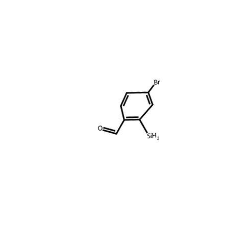 O=Cc1ccc(Br)cc1[SiH3]